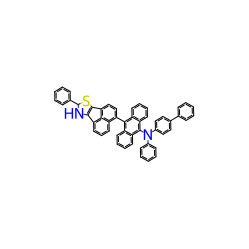 c1ccc(-c2ccc(N(c3ccccc3)c3c4ccccc4c(-c4ccc5c6c(cccc46)C4=C5SC(c5ccccc5)N4)c4ccccc34)cc2)cc1